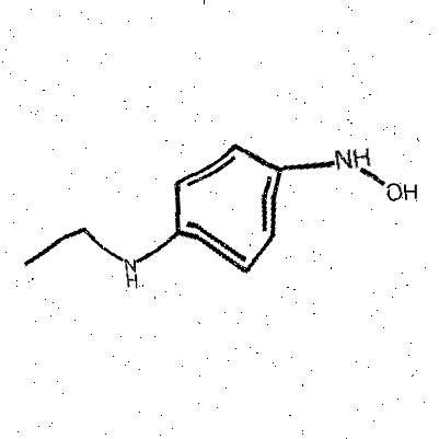 CCNc1ccc(NO)cc1